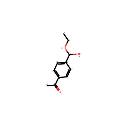 CCOC(O)c1ccc(C(C)=O)cc1